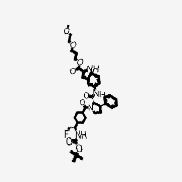 COCCOCCCOC(=O)c1cc2cc(NC(=O)[C@@H]3[C@@H](c4ccccc4)CCN3C(=O)C3CCC([C@@H](CF)NC(=O)OC(C)(C)C)CC3)ccc2[nH]1